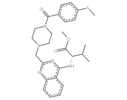 COC(=O)[C@@H](Nc1nc(CN2CCN(C(=O)c3ccc(SC)cc3)CC2)nc2ccccc12)C(C)C